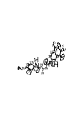 CCN1C(=O)C2(CC2)C(=O)c2cc(NC(=O)CC(C)CC(=O)Nc3ccc(C#N)c(Cl)c3)ccc21